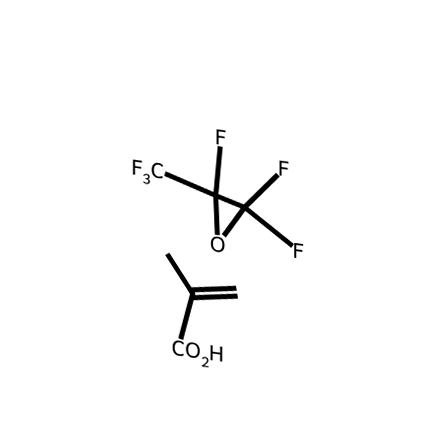 C=C(C)C(=O)O.FC(F)(F)C1(F)OC1(F)F